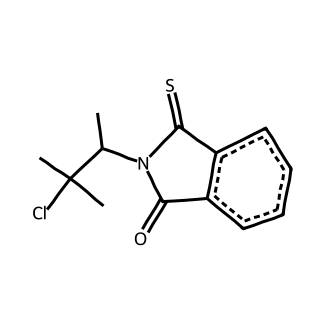 CC(N1C(=O)c2ccccc2C1=S)C(C)(C)Cl